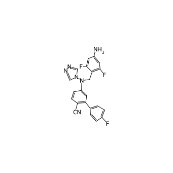 N#Cc1ccc(N(Cc2c(F)cc(N)cc2F)n2cnnc2)cc1-c1ccc(F)cc1